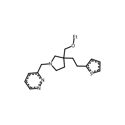 CCOCC1(CCc2cccs2)CCN(Cc2cccnn2)C1